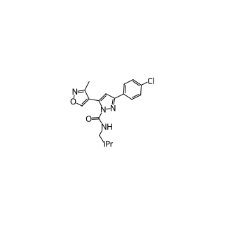 Cc1nocc1-c1cc(-c2ccc(Cl)cc2)nn1C(=O)NCC(C)C